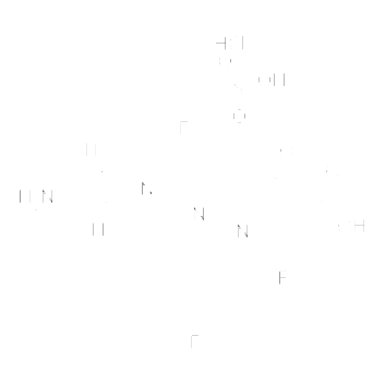 CS(=O)(=O)O.Cl.NC1[C@H]2CN(c3nc4c(cc3F)c(=O)c(C(=O)O)cn4-c3ccc(F)cc3F)C[C@@H]12